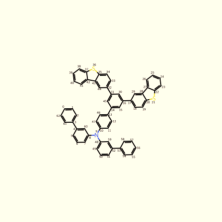 c1ccc(-c2cccc(N(c3ccc(-c4cc(-c5ccc6sc7ccccc7c6c5)cc(-c5ccc6sc7ccccc7c6c5)c4)cc3)c3cccc(-c4ccccc4)c3)c2)cc1